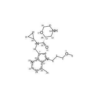 COCCCn1cc(CN(C(=O)[C@H]2CNCCO2)C2CC2)c2nccc(C)c21